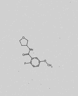 COc1ccc(F)c(C(=O)NC2CCOC2)c1